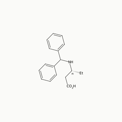 CC[C@H](CC(=O)O)NC(c1ccccc1)c1ccccc1